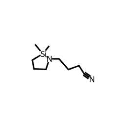 C[Si]1(C)CCCN1CCCC#N